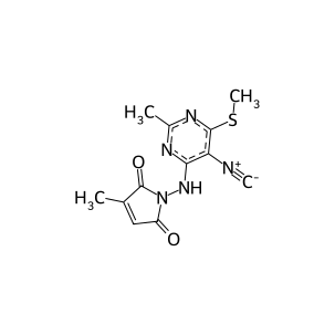 [C-]#[N+]c1c(NN2C(=O)C=C(C)C2=O)nc(C)nc1SC